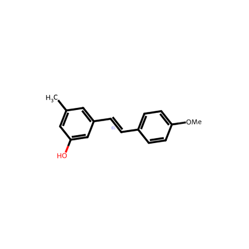 COc1ccc(/C=C/c2cc(C)cc(O)c2)cc1